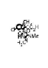 C=Nc1[nH]c(=O)n(-c2c(C(=O)O)n(C)c3ccc(Cl)cc23)c(=O)c1NC